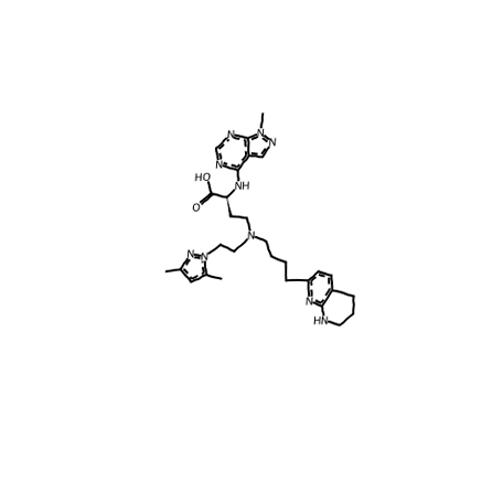 Cc1cc(C)n(CCN(CCCCc2ccc3c(n2)NCCC3)CC[C@H](Nc2ncnc3c2cnn3C)C(=O)O)n1